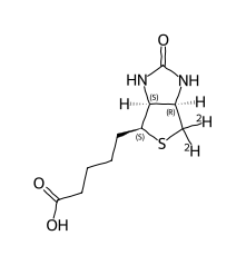 [2H]C1([2H])S[C@@H](CCCCC(=O)O)[C@H]2NC(=O)N[C@H]21